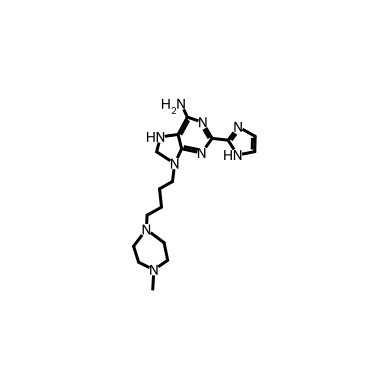 CN1CCN(CCCCN2CNc3c(N)nc(-c4ncc[nH]4)nc32)CC1